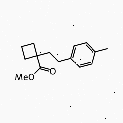 COC(=O)C1(CCc2ccc(C)cc2)CCC1